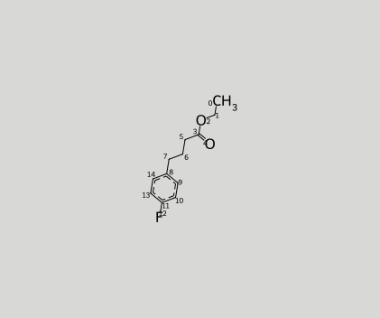 CCOC(=O)CCCc1ccc(F)cc1